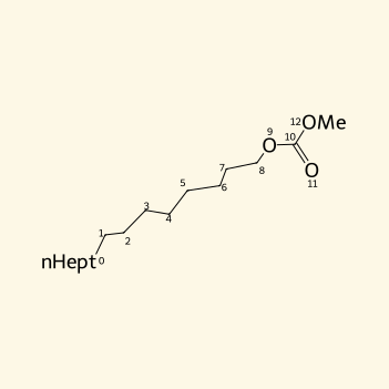 CCCCCCCCCCCCCCCOC(=O)OC